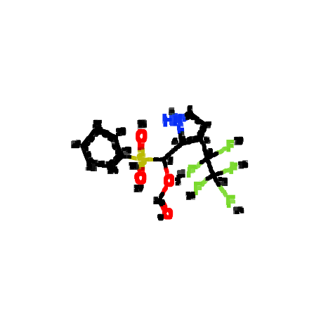 O=COC(c1[nH]ccc1C(F)(F)C(F)(F)F)S(=O)(=O)c1ccccc1